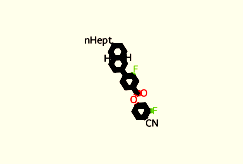 CCCCCCC[C@H]1CC[C@@H]2CC(c3ccc(C(=O)Oc4ccc(C#N)c(F)c4)cc3F)CC[C@H]2C1